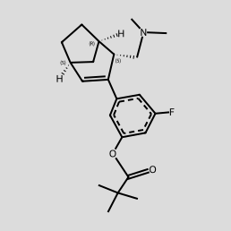 CN(C)C[C@@H]1C(c2cc(F)cc(OC(=O)C(C)(C)C)c2)=C[C@H]2CC[C@@H]1C2